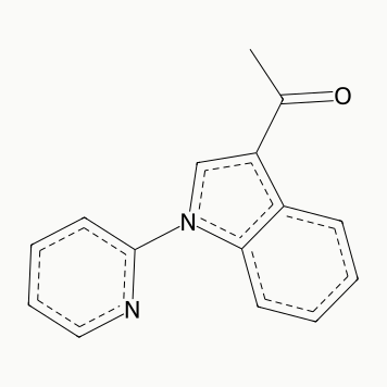 CC(=O)c1cn(-c2ccccn2)c2ccccc12